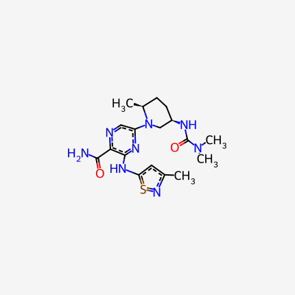 Cc1cc(Nc2nc(N3C[C@H](NC(=O)N(C)C)CC[C@@H]3C)cnc2C(N)=O)sn1